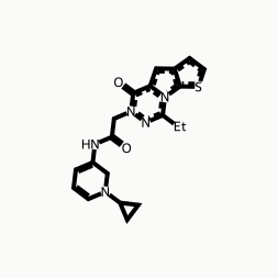 CCc1nn(CC(=O)NC2=CC=CN(C3CC3)C2)c(=O)c2cc3ccsc3n12